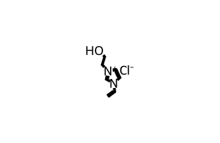 C=Cn1cc[n+](CCO)c1.[Cl-]